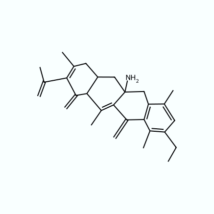 C=C(C)C1=C(C)CC2CC3(N)Cc4c(C)cc(CC)c(C)c4C(=C)C3=C(C)C2C1=C